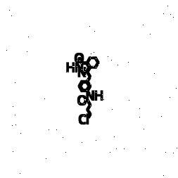 O=C(CCCCl)Nc1cccc(Cc2n[nH]c(=O)c3c2CCCC3)c1